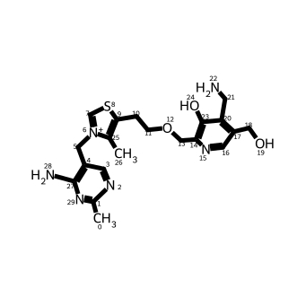 Cc1ncc(C[n+]2csc(CCOCc3ncc(CO)c(CN)c3O)c2C)c(N)n1